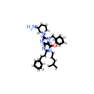 CC(C)CCCn1c(CCc2ccccc2)nc2nc(N3CCCC(N)C3)n(Cc3ccccc3)c2c1=O